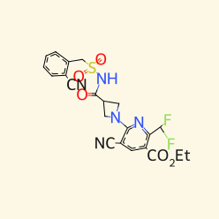 CCOC(=O)c1cc(C#N)c(N2CC(C(=O)NS(=O)(=O)Cc3ccccc3C#N)C2)nc1C(F)F